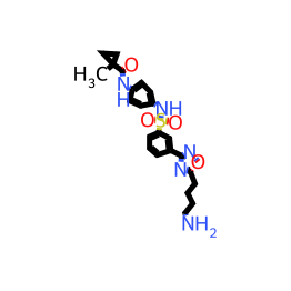 CC1(C(=O)Nc2ccc(NS(=O)(=O)c3cccc(-c4noc(CCCCN)n4)c3)cc2)CC1